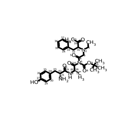 CCN(CC(=O)N(C(=O)OC(C)(C)C)C(=O)[C@@H](C)NC(=O)[C@@H](N)Cc1ccc(O)cc1)C(Cc1ccccc1)C(C)=O